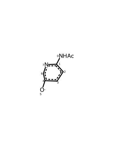 CC(=O)Nc1ccc([O])cn1